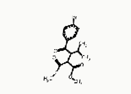 COC(=O)C(C(=O)OC)C(C(=O)c1ccc(Br)cc1)C(C)C